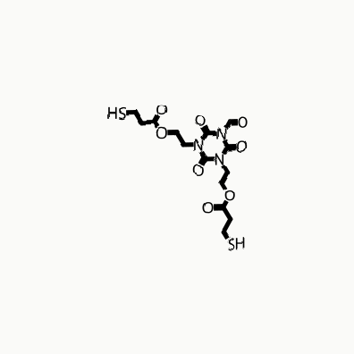 O=Cn1c(=O)n(CCOC(=O)CCS)c(=O)n(CCOC(=O)CCS)c1=O